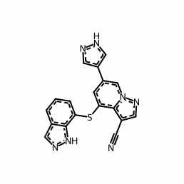 N#Cc1cnn2cc(-c3cn[nH]c3)cc(Sc3cccc4cn[nH]c34)c12